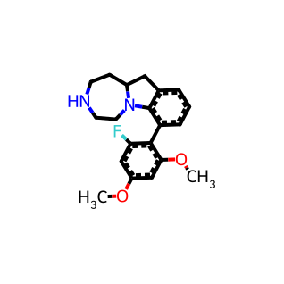 COc1cc(F)c(-c2cccc3c2N2CCNCCC2C3)c(OC)c1